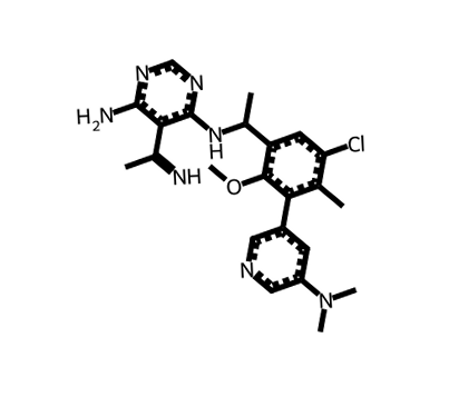 COc1c(C(C)Nc2ncnc(N)c2C(C)=N)cc(Cl)c(C)c1-c1cncc(N(C)C)c1